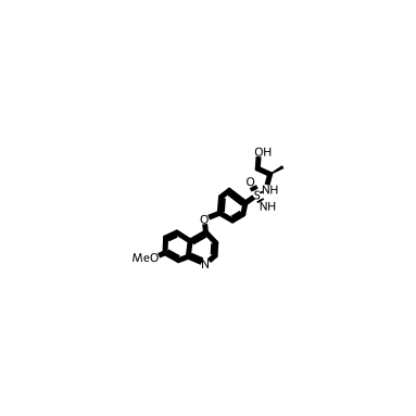 COc1ccc2c(Oc3ccc([S@](=N)(=O)N[C@H](C)CO)cc3)ccnc2c1